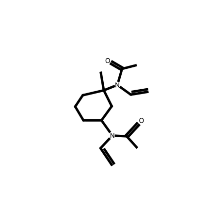 C=CN(C(C)=O)C1CCCC(C)(N(C=C)C(C)=O)C1